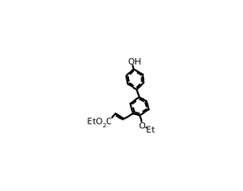 CCOC(=O)/C=C/c1cc(-c2ccc(O)cc2)ccc1OCC